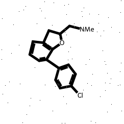 CNCC1Cc2cccc(-c3ccc(Cl)cc3)c2O1